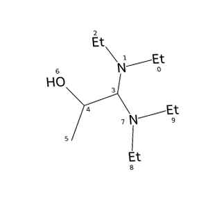 CCN(CC)C(C(C)O)N(CC)CC